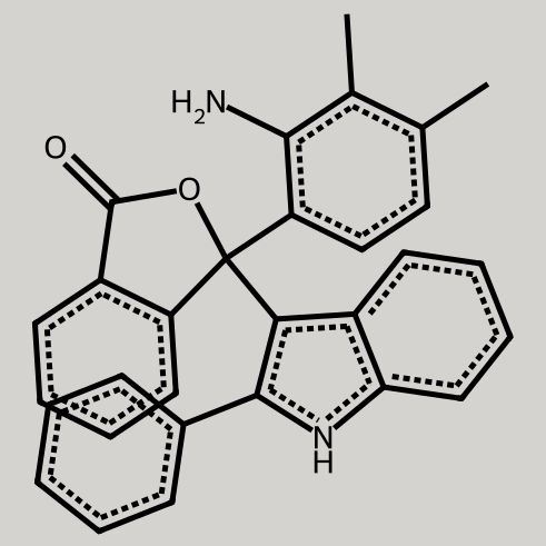 Cc1ccc(C2(c3c(-c4ccccc4)[nH]c4ccccc34)OC(=O)c3ccccc32)c(N)c1C